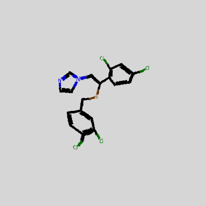 Clc1ccc(C(Cn2ccnc2)SCc2ccc(Cl)c(Cl)c2)c(Cl)c1